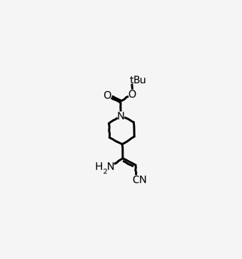 CC(C)(C)OC(=O)N1CCC(/C(N)=C/C#N)CC1